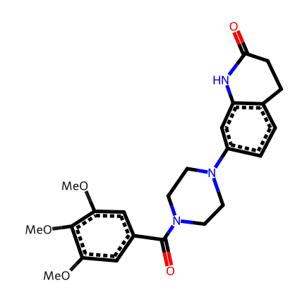 COc1cc(C(=O)N2CCN(c3ccc4c(c3)NC(=O)CC4)CC2)cc(OC)c1OC